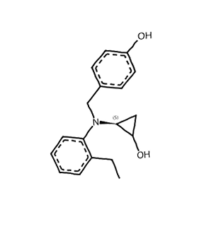 CCc1ccccc1N(Cc1ccc(O)cc1)[C@H]1CC1O